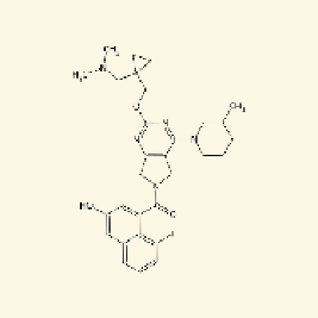 CC1CCCN(c2nc(OCC3(CN(C)C)CC3)nc3c2CN(C(=O)c2cc(O)cc4cccc(I)c24)C3)C1